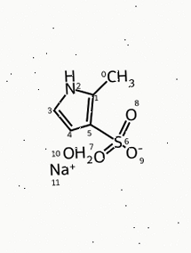 Cc1[nH]ccc1S(=O)(=O)[O-].O.[Na+]